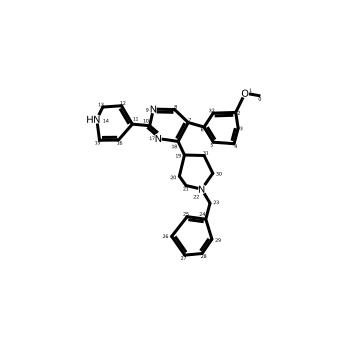 COc1cccc(-c2cnc(C3=CCNC=C3)nc2C2CCN(Cc3ccccc3)CC2)c1